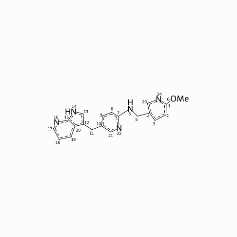 COc1ccc(CNc2ccc(Cc3c[nH]c4ncccc34)cn2)cn1